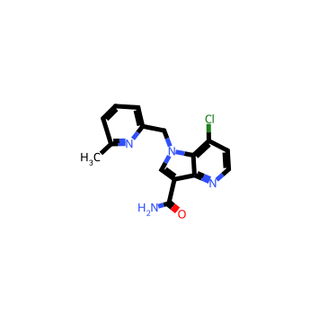 Cc1cccc(Cn2cc(C(N)=O)c3nccc(Cl)c32)n1